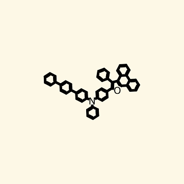 c1ccc(-c2ccc(-c3ccc(N(c4ccccc4)c4ccc(-c5oc6c7ccccc7c7ccccc7c6c5-c5ccccc5)cc4)cc3)cc2)cc1